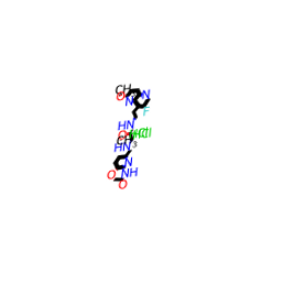 COc1ccc2ncc(F)c(CCNC[C@H](CNCc3ccc4c(n3)NC(=O)CO4)OC)c2n1.Cl.Cl